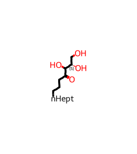 CCCCCCCCCCC(=O)C(O)[C@@H](O)CO